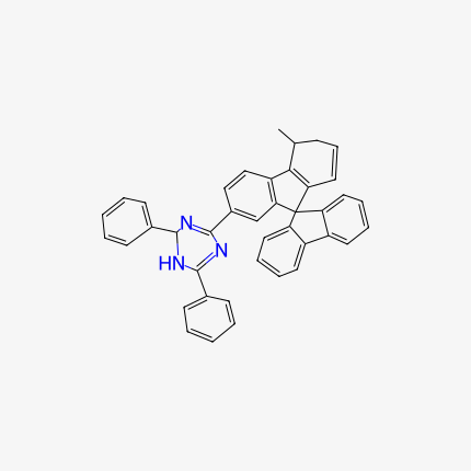 CC1CC=CC2=C1c1ccc(C3=NC(c4ccccc4)NC(c4ccccc4)=N3)cc1C21c2ccccc2-c2ccccc21